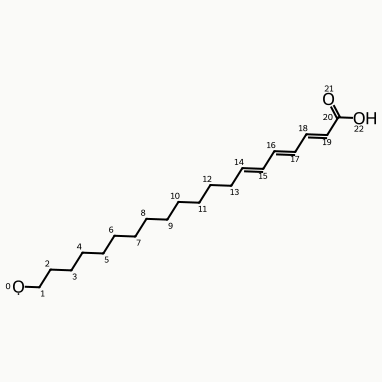 [O]CCCCCCCCCCCCCC=CC=CC=CC(=O)O